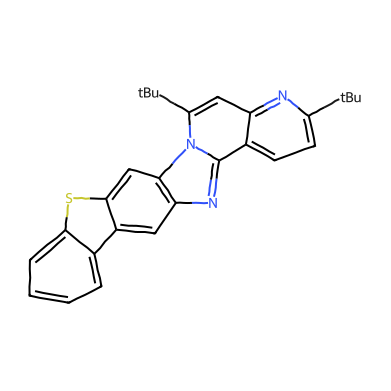 CC(C)(C)c1ccc2c(cc(C(C)(C)C)n3c4cc5sc6ccccc6c5cc4nc23)n1